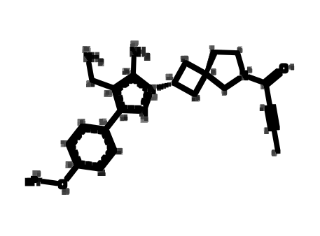 CC#CC(=O)N1CC[C@]2(C1)C[C@@H](n1nc(-c3ccc(OCCC)cc3)c(CN)c1N)C2